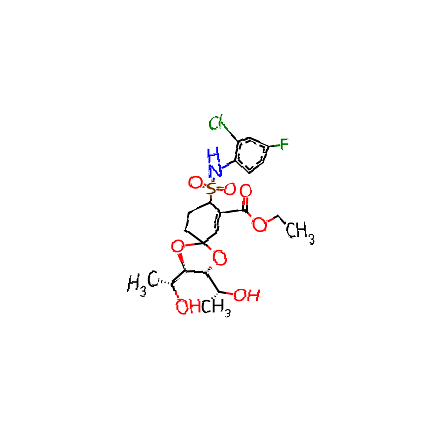 CCOC(=O)C1=CC2(CCC1S(=O)(=O)Nc1ccc(F)cc1Cl)O[C@H]([C@@H](C)O)[C@@H]([C@@H](C)O)O2